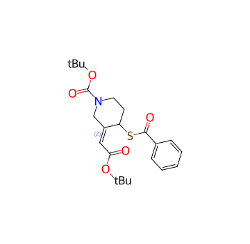 CC(C)(C)OC(=O)/C=C1/CN(C(=O)OC(C)(C)C)CCC1SC(=O)c1ccccc1